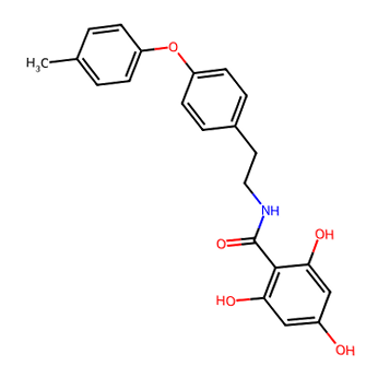 Cc1ccc(Oc2ccc(CCNC(=O)c3c(O)cc(O)cc3O)cc2)cc1